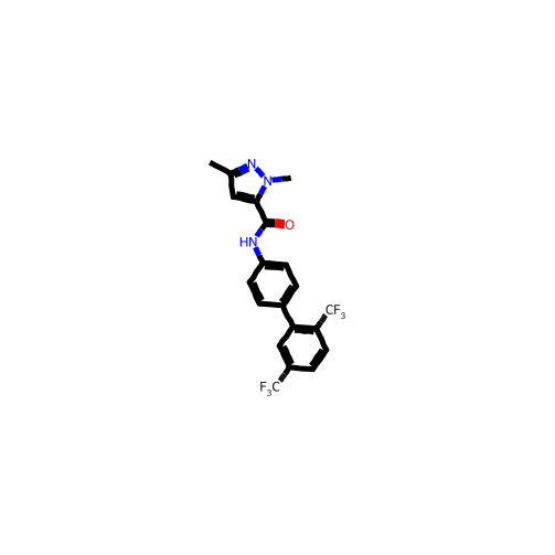 Cc1cc(C(=O)Nc2ccc(-c3cc(C(F)(F)F)ccc3C(F)(F)F)cc2)n(C)n1